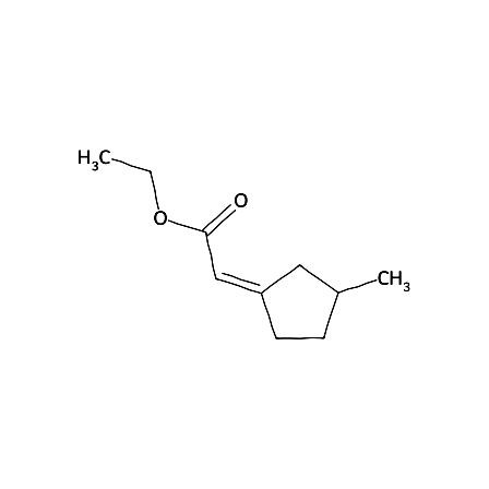 CCOC(=O)C=C1CCC(C)C1